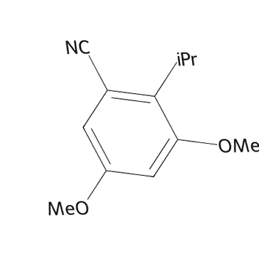 COc1cc(C#N)c(C(C)C)c(OC)c1